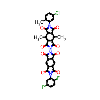 Cc1ccc(Cl)cc1-n1c(=O)c2c(C)c3c(=O)n(-n4c(=O)c5cc6c(=O)n(-c7cc(F)ccc7F)c(=O)c6cc5c4=O)c(=O)c3c(C)c2c1=O